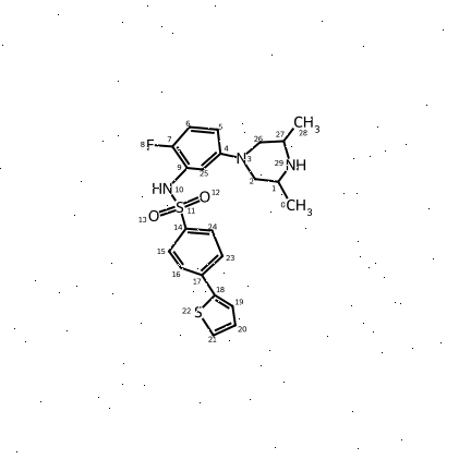 CC1CN(c2ccc(F)c(NS(=O)(=O)c3ccc(-c4cccs4)cc3)c2)CC(C)N1